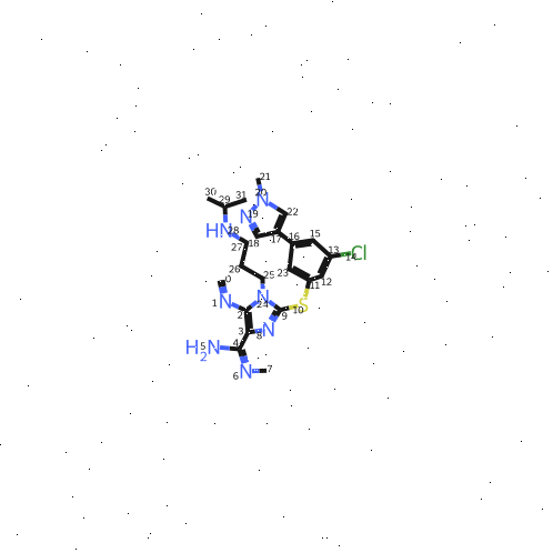 C=Nc1c(/C(N)=N\C)nc(Sc2cc(Cl)cc(-c3cnn(C)c3)c2)n1CCCNC(C)C